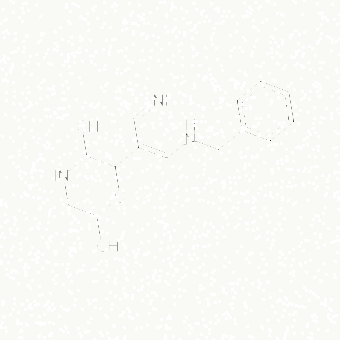 CC1CNC(C)C(/C(C=N)=C/NCc2ccccc2)O1